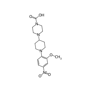 COc1cc([N+](=O)[O-])ccc1N1CCC(N2CCN(C(=O)O)CC2)CC1